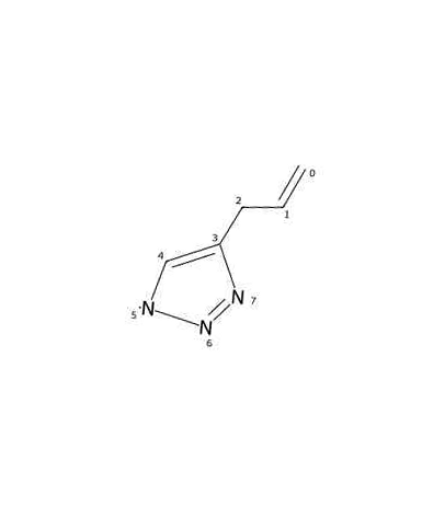 C=CCC1=C[N]N=N1